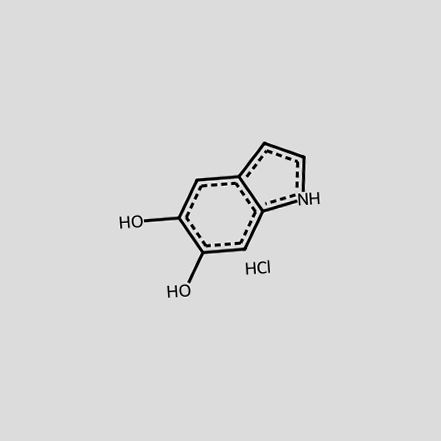 Cl.Oc1cc2cc[nH]c2cc1O